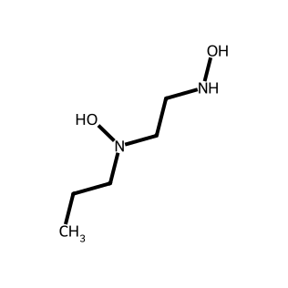 CCCN(O)CCNO